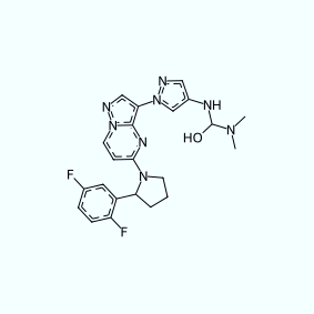 CN(C)C(O)Nc1cnn(-c2cnn3ccc(N4CCCC4c4cc(F)ccc4F)nc23)c1